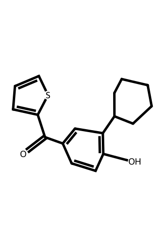 O=C(c1ccc(O)c(C2CCCCC2)c1)c1cccs1